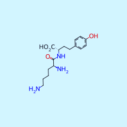 NCCCC[C@H](N)C(=O)N[C@@H](CCc1ccc(O)cc1)C(=O)O